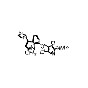 CNc1ncc(Cl)c(COc2cccc3c(-n4ccnc4)cc(C)nc23)c1Cl